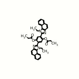 CCC(=O)Oc1cc(-c2nc3ccc4ccccc4c3n2CC)c(OC(=O)CC)cc1-c1nc2ccc3ccccc3c2n1CC